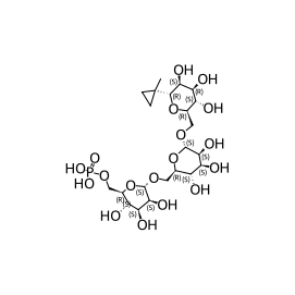 CC1([C@H]2O[C@H](CO[C@H]3O[C@H](CO[C@H]4O[C@H](COP(=O)(O)O)[C@@H](O)[C@H](O)[C@@H]4O)[C@@H](O)[C@H](O)[C@@H]3O)[C@@H](O)[C@H](O)[C@@H]2O)CC1